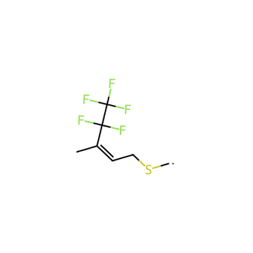 [CH2]SCC=C(C)C(F)(F)C(F)(F)F